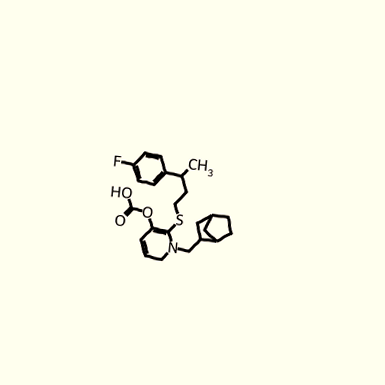 CC(CCSC1=C(OC(=O)O)C=CCN1CC1CC2CCC1C2)c1ccc(F)cc1